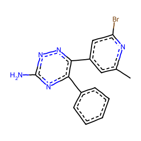 Cc1cc(-c2nnc(N)nc2-c2ccccc2)cc(Br)n1